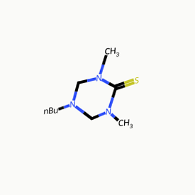 CCCCN1CN(C)C(=S)N(C)C1